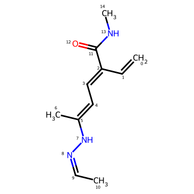 C=C/C(=C\C=C(/C)N/N=C\C)C(=O)NC